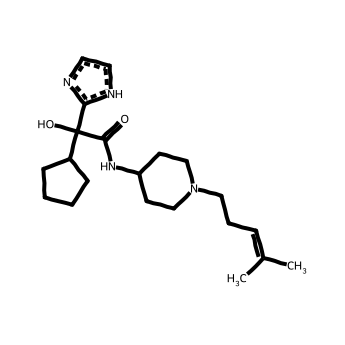 CC(C)=CCCN1CCC(NC(=O)C(O)(c2ncc[nH]2)C2CCCC2)CC1